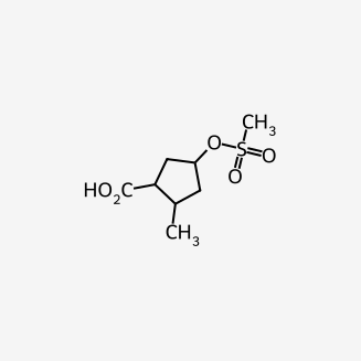 CC1CC(OS(C)(=O)=O)CC1C(=O)O